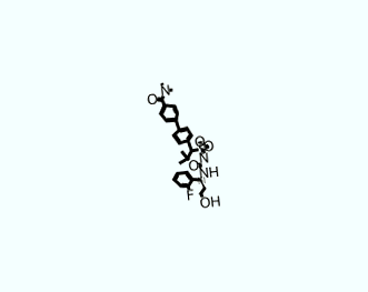 CN(C)C(=O)c1ccc(-c2ccc(C3C(C)(C)OC(N[C@@H](CCO)c4ccccc4F)=NS3(=O)=O)cc2)cc1